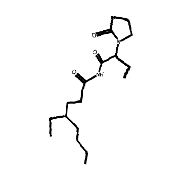 CCCCC(CC)CCC(=O)NC(=O)C(CC)N1CCCC1=O